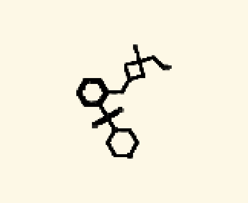 CC(C)CC1(F)CN(Cc2ccccc2S(=O)(=O)N2CCOCC2)C1